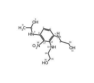 CC(O)Nc1ccc(NCCO)c(NCCO)c1[N+](=O)[O-]